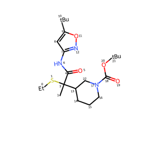 CCSC(C)(C(=O)Nc1cc(C(C)(C)C)on1)C1CCCN(C(=O)OC(C)(C)C)C1